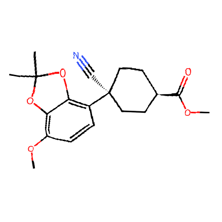 COc1ccc([C@]2(C#N)CC[C@H](C(=O)OC)CC2)c2c1OC(C)(C)O2